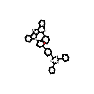 c1ccc(-c2nc(-c3ccccc3)nc(-c3ccc(-c4ccc(-n5c6ccccc6c6oc7c8ccccc8nc(-c8ccccc8)c7c65)cc4)cc3)n2)cc1